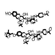 CC(=O)N1CCC(Nc2cc(C(=O)NC[C@@H](O)[C@@H]3Cc4ccc(O)cc4CN3C(=O)OC(C)(C)C)ncn2)CC1.CC(=O)N1CCC(Nc2cc(C(=O)NC[C@@H](O)[C@@H]3Cc4ccc(OCc5ocnc5C)cc4CN3C(=O)OC(C)(C)C)ncn2)CC1